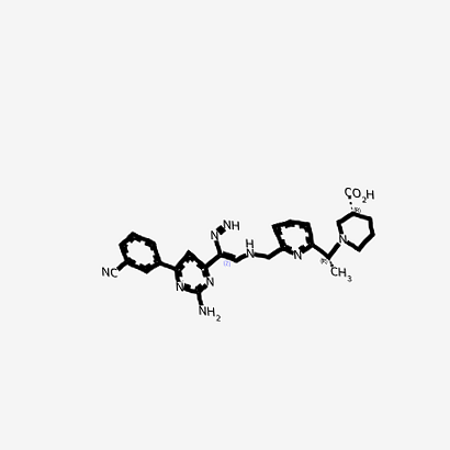 C[C@H](c1cccc(CN/C=C(\N=N)c2cc(-c3cccc(C#N)c3)nc(N)n2)n1)N1CCC[C@@H](C(=O)O)C1